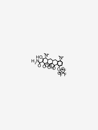 CN(C)c1ccc(OS(=O)(=O)C(F)(F)F)c2c1CC1CC3[C@H](N(C)C)C(O)=C(C(N)=O)C(=O)[C@@]3(O)C(O)=C1C2=O